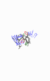 CC(C)CNc1ncnc2[nH]cc(C(=O)c3c(F)ccc(C(N)=O)c3F)c12